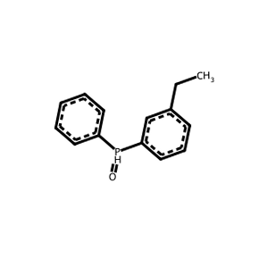 CCc1cccc([PH](=O)c2ccccc2)c1